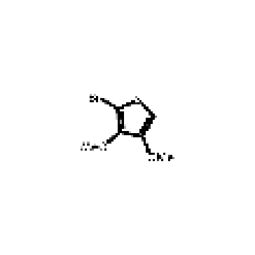 COc1csc(Br)c1OC